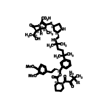 CCC(C)(C)C(=O)C(=O)N1CCCC[C@H]1C(=O)O[C@H](CCc1ccc(OC)c(OC)c1)c1cccc(C(C)(C)CCC(C)(C)NC[C@@H]2C[C@H](SC3=C(C(=O)O)N4C(=O)[C@H]([C@@H](C)O)[C@H]4[C@H]3C)CN2)c1